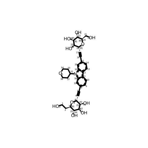 OCC[C@H]1O[C@H](C#Cc2ccc3c4ccc(C#C[C@H]5O[C@H](CO)[C@@H](O)[C@H](O)[C@@H]5O)cc4n(C4CCOCC4)c3c2)[C@@H](O)[C@@H](O)[C@@H]1O